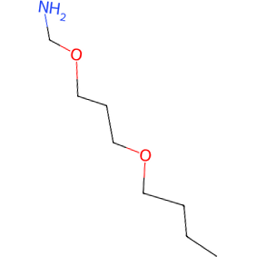 CCCCOCCCOCN